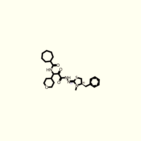 CN1/C(=N/NC(=O)C(=O)C(NC(=O)C2CCCCCC2)C2CCOCC2)SC[C@H]1Cc1ccccc1